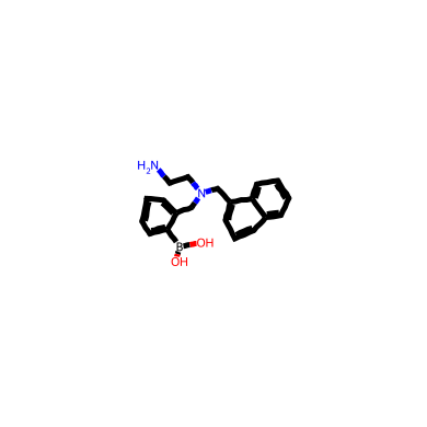 NCCN(Cc1ccccc1B(O)O)Cc1cccc2ccccc12